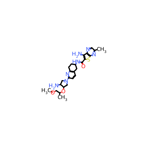 COCC(C)OC1CN(c2ccc3c(n2)CCC(NC(=O)c2sc4nc(C)cnc4c2N)C3)CC1N